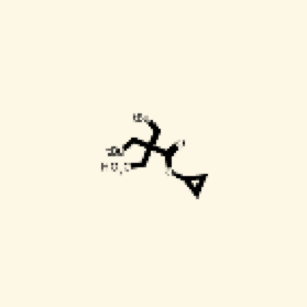 CC(C)(C)CC(CC(=O)O)(CC(C)(C)C)C(=O)OC1CC1